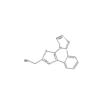 CC(C)(C)Cc1cc2c3ccccc3c3nccn3c2s1